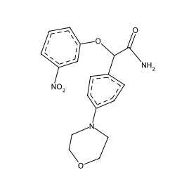 NC(=O)C(Oc1cccc([N+](=O)[O-])c1)c1ccc(N2CCOCC2)cc1